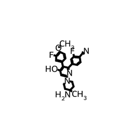 COc1ccc(-c2c(O)cc(N3CCC(C)(N)CC3)nc2-c2ccc(C#N)c(F)c2)cc1F